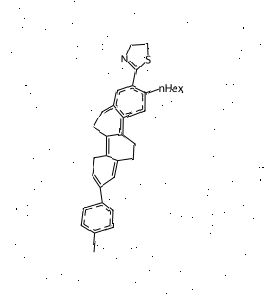 CCCCCCc1cc2c(cc1C1=NCCS1)=CCC1=C3CC=C(c4ccc(C)cc4)C=C3CCC=21